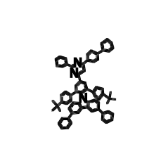 CC(C)(C)c1ccc(-c2cc(-c3cc(-c4ccc(-c5ccccc5)cc4)nc(-c4ccccc4)n3)cc(-c3ccc(C(C)(C)C)cc3)c2-n2c3ccc(-c4ccccc4)cc3c3cc(-c4ccccc4)ccc32)cc1